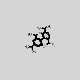 CC(C)c1[c]cc(C(C)C)c(-c2ccc(C(C)C)cc2C(C)C)c1